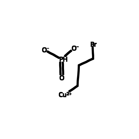 O=[PH]([O-])[O-].[Cu+2][CH2]CCBr